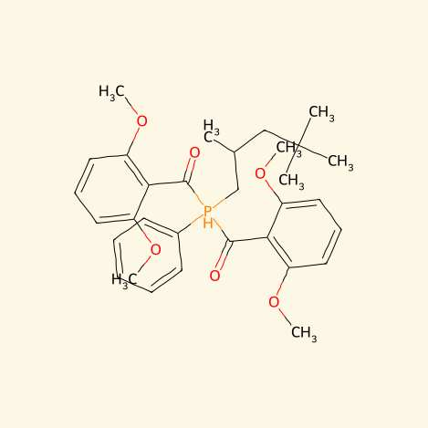 COc1cccc(OC)c1C(=O)[PH](CC(C)CC(C)(C)C)(C(=O)c1c(OC)cccc1OC)c1ccccc1